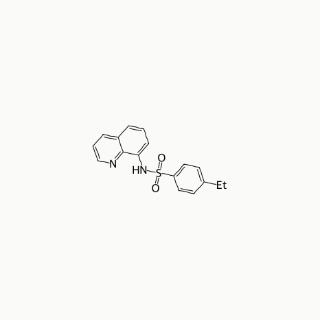 CCc1ccc(S(=O)(=O)Nc2cccc3cccnc23)cc1